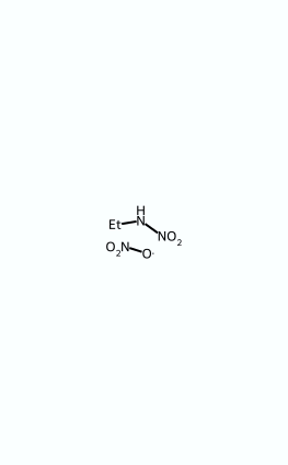 CCN[N+](=O)[O-].[O][N+](=O)[O-]